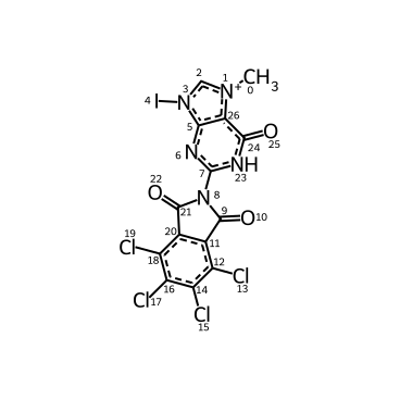 C[n+]1cn(I)c2nc(N3C(=O)c4c(Cl)c(Cl)c(Cl)c(Cl)c4C3=O)[nH]c(=O)c21